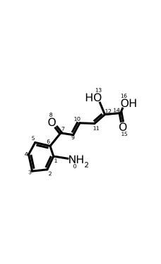 Nc1ccccc1C(=O)C=CC=C(O)C(=O)O